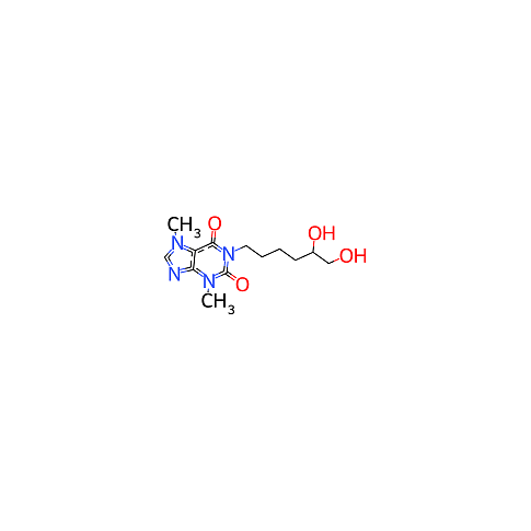 Cn1cnc2c1c(=O)n(CCCCC(O)CO)c(=O)n2C